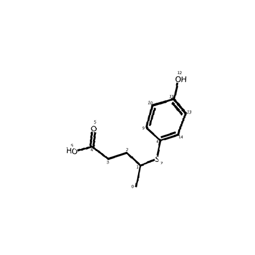 CC(CCC(=O)O)Sc1ccc(O)cc1